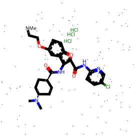 CNCCOc1ccc2oc(C(=O)Nc3ccc(Cl)cn3)c(NC(=O)[C@H]3CC[C@H](N(C)C)CC3)c2c1.Cl.Cl.Cl